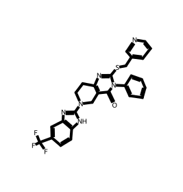 O=c1c2c(nc(SCc3cccnc3)n1-c1ccccc1)CCN(c1nc3cc(C(F)(F)F)ccc3[nH]1)C2